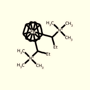 CCC([C]12[CH]3[CH]4[CH]5[C]1(C(CC)[N+](C)(C)C)[Fe]43521678[CH]2[CH]1[CH]6[CH]7[CH]28)[N+](C)(C)C